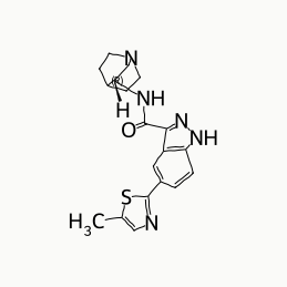 Cc1cnc(-c2ccc3[nH]nc(C(=O)N[C@H]4CN5CCC4CC5)c3c2)s1